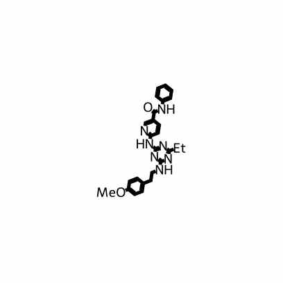 CCc1nc(NCCc2ccc(OC)cc2)nc(Nc2ccc(C(=O)Nc3ccccc3)cn2)n1